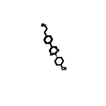 CCC(C)CCc1ccc(-c2cnc([C@H]3CC[C@H](C#N)CC3)nc2)cc1